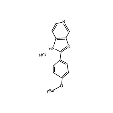 CCCCOc1ccc(-c2nc3cnccc3[nH]2)cc1.Cl